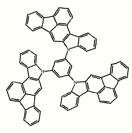 c1ccc2c(c1)-c1cccc3c1c-2cc1c3c2ccccc2n1-c1cc(-n2c3ccccc3c3c4cccc5c4c(cc32)-c2ccccc2-5)cc(-n2c3ccccc3c3c4cccc5c4c(cc32)-c2ccccc2-5)c1